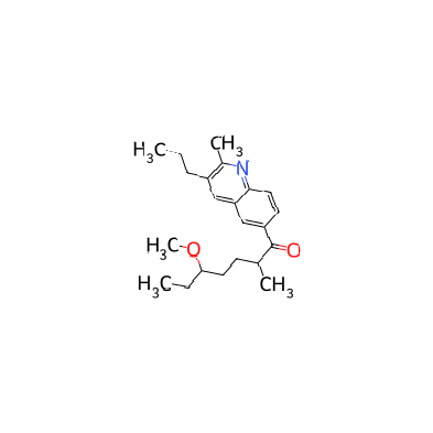 CCCc1cc2cc(C(=O)C(C)CCC(CC)OC)ccc2nc1C